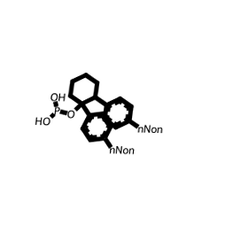 CCCCCCCCCc1ccc(C2CCCCC2(OP(O)O)c2ccc(CCCCCCCCC)cc2)cc1